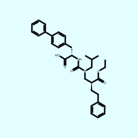 CCOC(=O)[C@@H](CCc1ccccc1)CN(CC(C)C)C(=O)N[C@@H](Cc1ccc(-c2ccccc2)cc1)C(=O)O